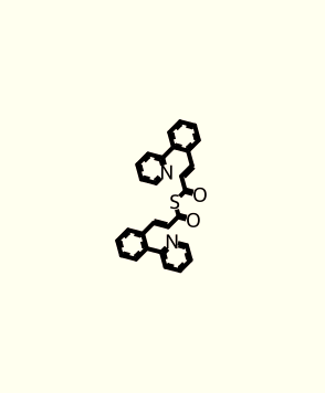 O=C(C=Cc1ccccc1-c1ccccn1)SC(=O)C=Cc1ccccc1-c1ccccn1